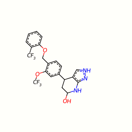 OC1CC(c2ccc(COc3ccccc3C(F)(F)F)c(OC(F)(F)F)c2)c2c[nH]nc2N1